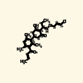 CC=CC(=O)c1c(C)cc(C)c(C2CC(=O)C(C(CC)NOCC=CCl)=C(O)C2)c1C